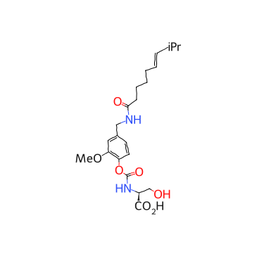 COc1cc(CNC(=O)CCCC/C=C/C(C)C)ccc1OC(=O)N[C@@H](CO)C(=O)O